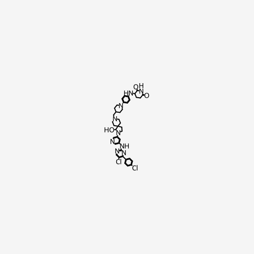 O=C1CCC(Nc2ccc(N3CCC(CN4CCC5(CC4)CCN(c4cncc(Nc6ncc(Cl)c(-c7ccc(Cl)cc7)n6)c4)C5O)CC3)cc2)C(=O)N1